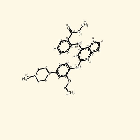 CCOc1cc(N2CCN(C)CC2)ccc1Nc1nc(Nc2ccccc2C(=O)OC)c2sccc2n1